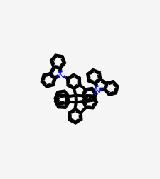 c1ccc(C2(C3(c4ccccc4)c4ccccc4-c4ccc(-n5c6ccccc6c6ccccc65)cc43)c3ccccc3-c3ccc(-n4c5ccccc5c5ccccc54)cc32)cc1